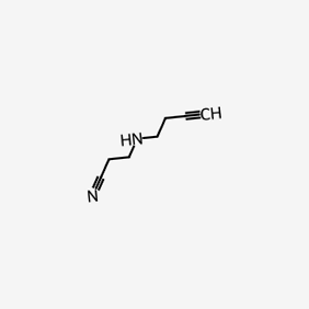 C#CCCNCCC#N